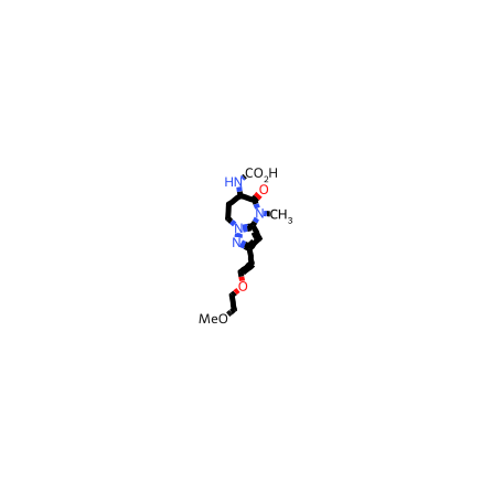 COCCOC=Cc1cc2n(n1)CCC(NC(=O)O)C(=O)N2C